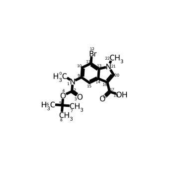 CN(C(=O)OC(C)(C)C)c1cc(Br)c2c(c1)c(C(=O)O)cn2C